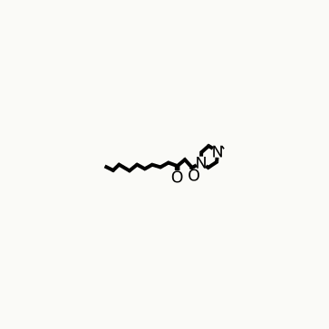 CCCCCCCCCC(=O)CC(=O)N1CCN(C)CC1